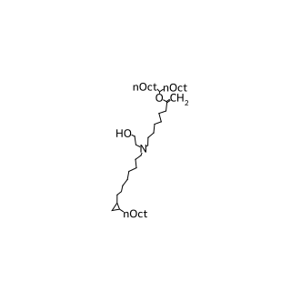 C=C(CCCCCCCN(CCO)CCCCCCCCC1CC1CCCCCCCC)OC(CCCCCCCC)CCCCCCCC